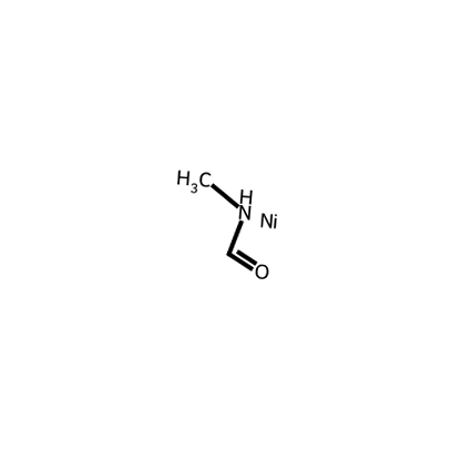 CNC=O.[Ni]